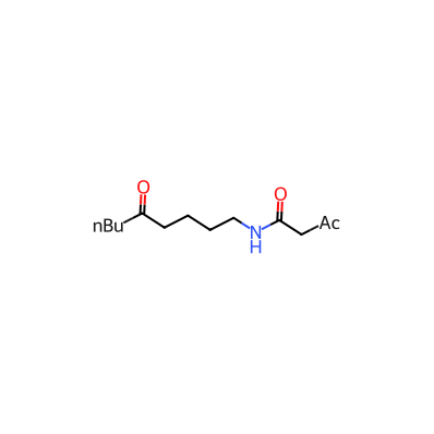 CCCCC(=O)CCCCNC(=O)CC(C)=O